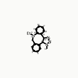 CCN1Cc2ccccc2C2C(N=NN2C)c2ccccc21